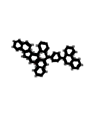 c1ccc(N(c2ccc(-c3cc4ccccc4c4ccccc34)cc2)c2ccc3ccccc3c2)c(-c2cccc3oc4c5ccccc5ccc4c23)c1